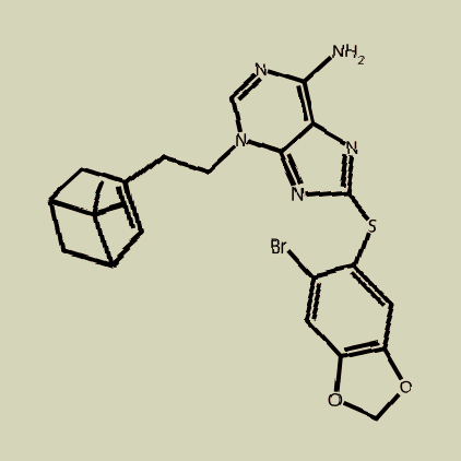 CC1(C)C2C=C(CCn3cnc(N)c4nc(Sc5cc6c(cc5Br)OCO6)nc3-4)CC1C2